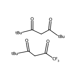 CC(C)(C)C(=O)CC(=O)C(C)(C)C.CC(C)(C)C(=O)CC(=O)C(F)(F)F